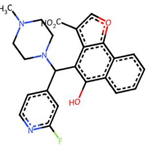 CN1CCN(C(c2ccnc(F)c2)c2c(O)c3ccccc3c3occ(C(=O)O)c23)CC1